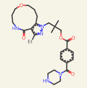 CCc1nn(CC(C)(C)COC(=O)c2ccc(C(=O)N3CCNCC3)cc2)c2c1C(=O)NCCCOCCC2